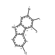 Cc1c(Br)cc2[nH]c3ccc(Cl)cc3c2c1C